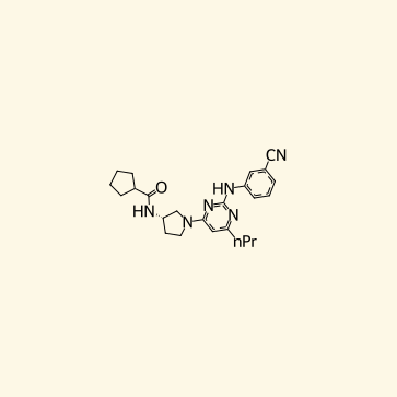 CCCc1cc(N2CC[C@H](NC(=O)C3CCCC3)C2)nc(Nc2cccc(C#N)c2)n1